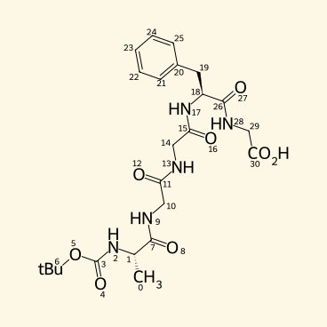 C[C@H](NC(=O)OC(C)(C)C)C(=O)NCC(=O)NCC(=O)N[C@@H](Cc1ccccc1)C(=O)NCC(=O)O